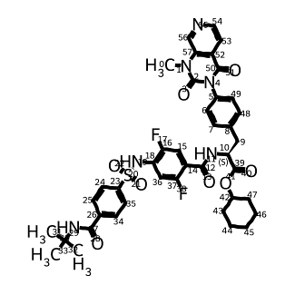 Cn1c(=O)n(-c2ccc(C[C@H](NC(=O)c3cc(F)c(NS(=O)(=O)c4ccc(C(=O)NC(C)(C)C)cc4)cc3F)C(=O)OC3CCCCC3)cc2)c(=O)c2ccncc21